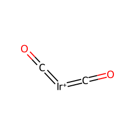 O=[C]=[Ir+]=[C]=O